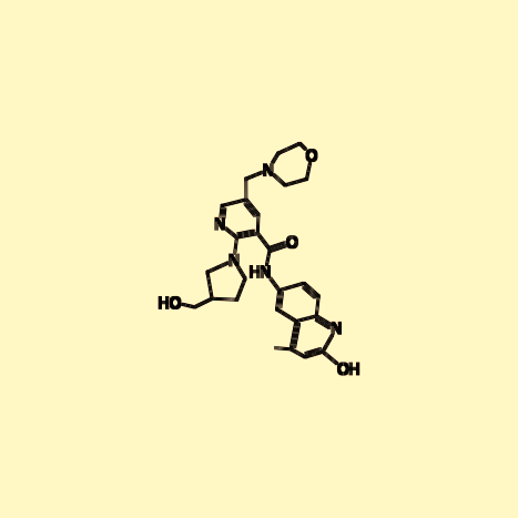 Cc1cc(O)nc2ccc(NC(=O)c3cc(CN4CCOCC4)cnc3N3CCC(CO)C3)cc12